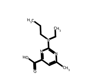 CCCN(CC)c1nc(C)cc(C(=O)O)n1